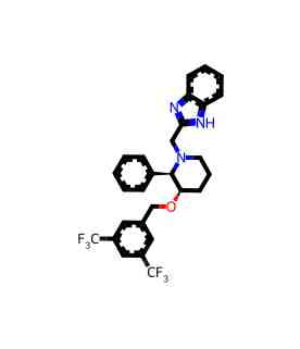 FC(F)(F)c1cc(CO[C@@H]2CCCN(Cc3nc4ccccc4[nH]3)[C@@H]2c2ccccc2)cc(C(F)(F)F)c1